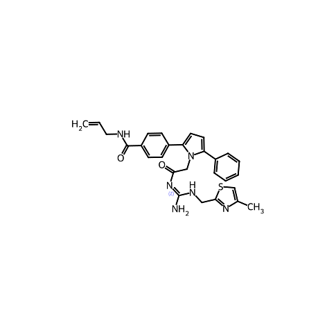 C=CCNC(=O)c1ccc(-c2ccc(-c3ccccc3)n2CC(=O)/N=C(/N)NCc2nc(C)cs2)cc1